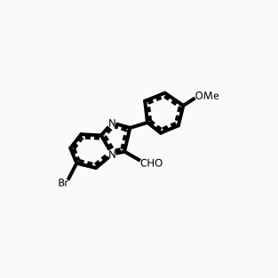 COc1ccc(-c2nc3ccc(Br)cn3c2C=O)cc1